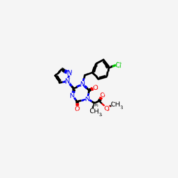 COC(=O)[C@@H](C)n1c(=O)nc(-n2cccn2)n(Cc2ccc(Cl)cc2)c1=O